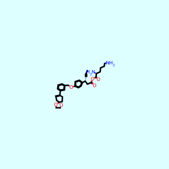 CC#C[C@H](CC(=O)OC(=O)[C@@H](N)CCCCN)c1ccc(OCc2cccc(C3=CCC4(CC3)OCCO4)c2)cc1